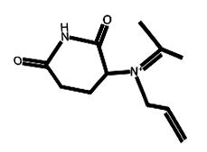 C=CC[N+](=C(C)C)C1CCC(=O)NC1=O